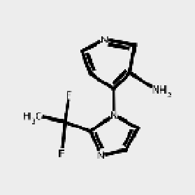 CC(F)(F)c1nccn1-c1ccncc1N